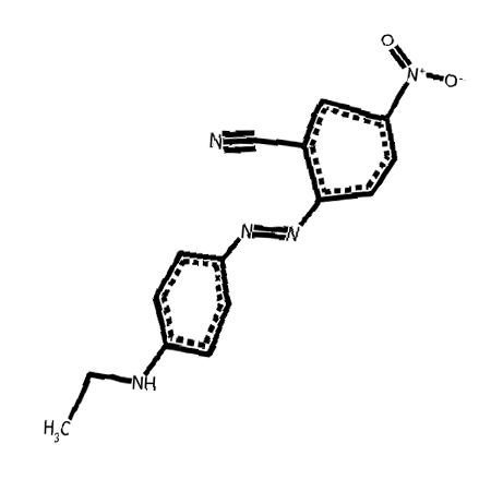 CCNc1ccc(/N=N/c2ccc([N+](=O)[O-])cc2C#N)cc1